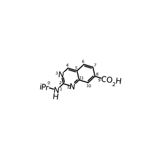 CC(C)Nc1ncc2ccc(C(=O)O)cc2n1